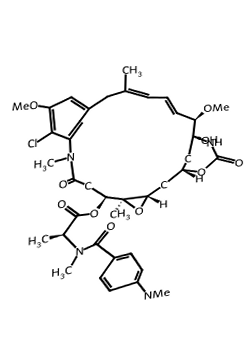 CNc1ccc(C(=O)N(C)[C@@H](C)C(=O)O[C@H]2CC(=O)N(C)c3cc(cc(OC)c3Cl)C/C(C)=C/C=C/[C@@H](OC)[C@@]3(O)C[C@@H](C[C@@H]4O[C@@]24C)OC(=O)N3)cc1